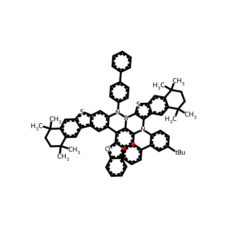 CC(C)(C)c1ccc(N2c3cc4c(oc5ccccc54)c4c3B(c3sc5cc6c(cc5c32)C(C)(C)CCC6(C)C)N(c2ccc(-c3ccccc3)cc2)c2cc3sc5cc6c(cc5c3cc2-4)C(C)(C)CCC6(C)C)c(-c2ccccc2)c1